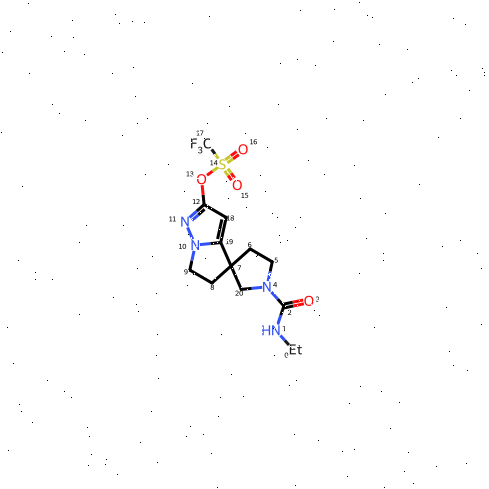 CCNC(=O)N1CCC2(CCn3nc(OS(=O)(=O)C(F)(F)F)cc32)C1